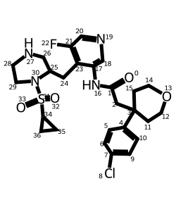 O=C(CC1(c2ccc(Cl)cc2)CCOCC1)Nc1cncc(F)c1CC1CNCCN1S(=O)(=O)C1CC1